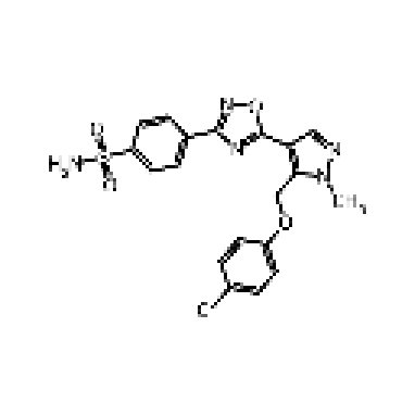 Cn1ncc(-c2nc(-c3ccc(S(N)(=O)=O)cc3)no2)c1COc1ccc(Cl)cc1